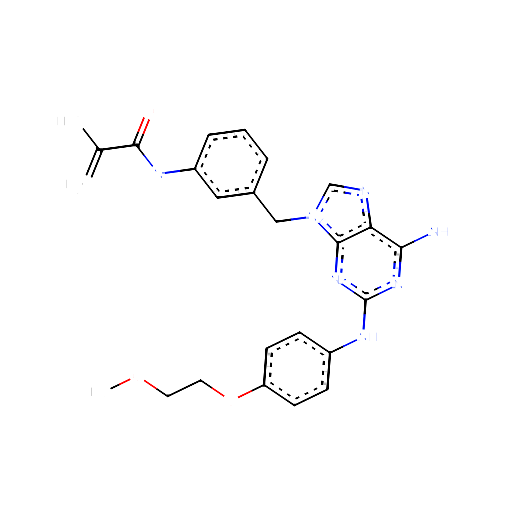 C=C(C)C(=O)Nc1cccc(Cn2cnc3c(N)nc(Nc4ccc(OCCOC)cc4)nc32)c1